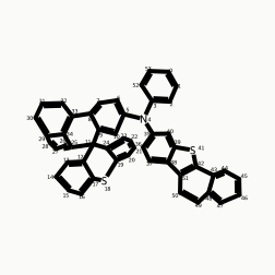 c1ccc(N(c2ccc3c(c2)C2(c4ccccc4Sc4ccccc42)c2cccc4cccc-3c24)c2ccc3c(c2)sc2c4ccccc4ccc32)cc1